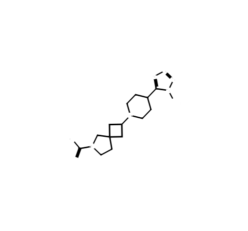 Cn1nnnc1C1CCN(C2CC3(CCN(C(=O)O)C3)C2)CC1